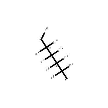 CC(F)(F)C(F)(F)C(F)(F)C(F)(F)CF